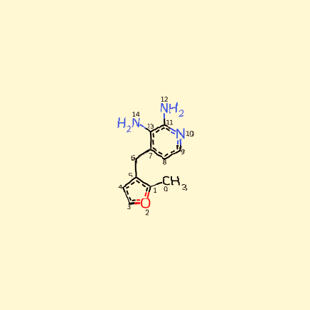 Cc1occc1Cc1ccnc(N)c1N